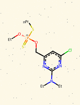 CCCS[P@@](=S)(OCC)OCc1cc(Cl)nc(N(CC)CC)n1